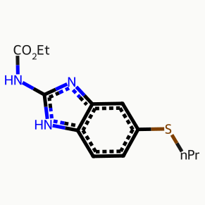 CCCSc1ccc2[nH]c(NC(=O)OCC)nc2c1